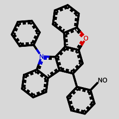 O=Nc1ccccc1-c1cc2oc3ccccc3c2c2c1c1ccccc1n2-c1ccccc1